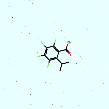 CC(C)c1c(F)c(F)c(F)c(F)c1C(=O)O